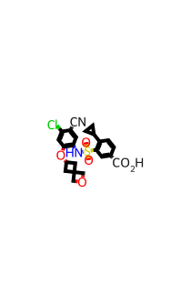 N#Cc1cc(NS(=O)(=O)c2cc(C(=O)O)ccc2C2CC2)c(OC2CC3(COC3)C2)cc1Cl